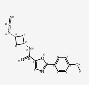 COc1ccc(-c2ncc(C(=O)N[C@H]3C[C@@H](N=C=S)C3)o2)cc1